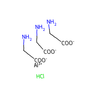 Cl.NCC(=O)[O-].NCC(=O)[O-].NCC(=O)[O-].[Al+3]